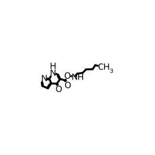 CCCCCCNOC(=O)c1c[nH]c2ncccc2c1=O